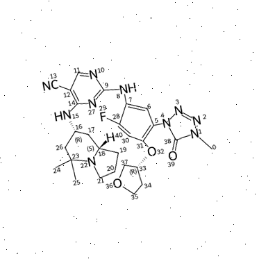 Cn1nnn(-c2cc(Nc3ncc(C#N)c(N[C@@H]4C[C@@H]5CCCN5C(C)(C)C4)n3)c(F)cc2O[C@@H]2CCOC2)c1=O